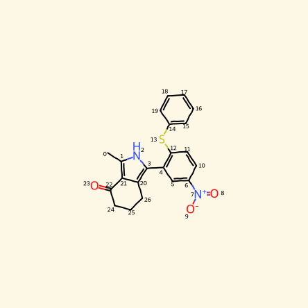 Cc1[nH]c(-c2cc([N+](=O)[O-])ccc2Sc2ccccc2)c2c1C(=O)CCC2